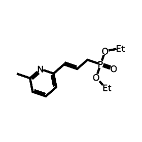 CCOP(=O)(CC=Cc1cccc(C)n1)OCC